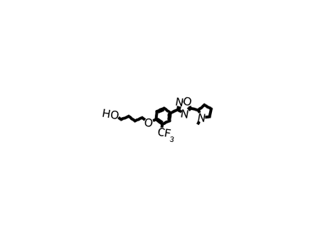 CN1CCCC1c1nc(-c2ccc(OCCCCO)c(C(F)(F)F)c2)no1